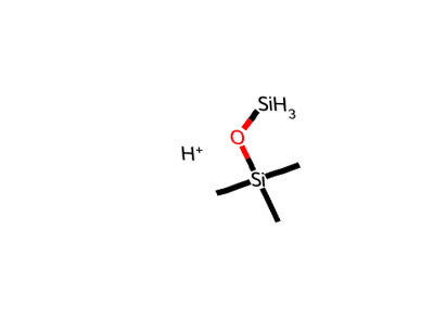 C[Si](C)(C)O[SiH3].[H+]